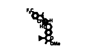 COC(=O)C(C)C(c1ccc2c(c1)OC1(CC2)[C@@H]2CC[C@H]1CN([C@H](C)c1cc(C(F)(F)F)ccc1C(F)(F)F)C2)C1CC1